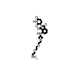 NCCOCCOCCN1CC(Nc2cccc3c2C(=O)N(C2CCC(=O)NC2=O)C3=O)C1